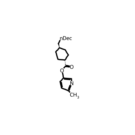 CCCCCCCCCCC[C@H]1CC[C@H](C(=O)Oc2ccc(C)nc2)CC1